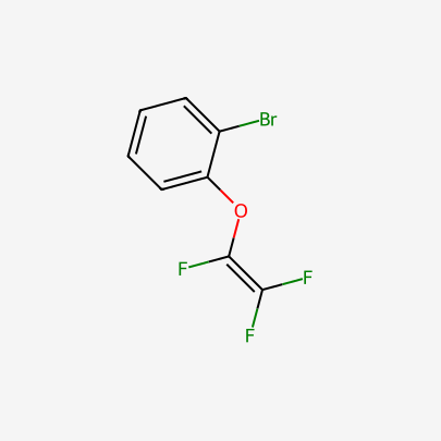 FC(F)=C(F)Oc1ccccc1Br